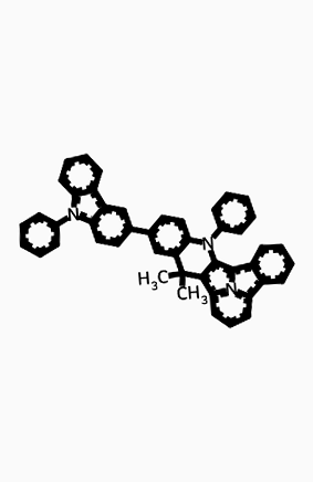 CC1(C)c2cc(-c3ccc4c(c3)c3ccccc3n4-c3ccccc3)ccc2N(c2ccccc2)c2c1c1cccc3c4ccccc4c2n13